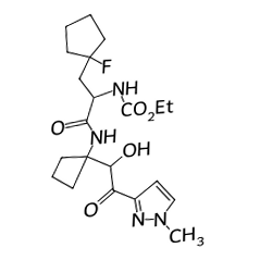 CCOC(=O)NC(CC1(F)CCCC1)C(=O)NC1(C(O)C(=O)c2ccn(C)n2)CCC1